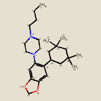 CCCCN1CCN(c2cc3c(cc2C2CC(C)(C)CC(C)(C)C2)OCO3)CC1